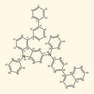 c1ccc(-c2cccc(-c3cccc4c3c3cc(N(c5ccccc5)c5ccc(-c6cccc7ccccc67)cc5)ccc3n4-c3ccccc3)c2)cc1